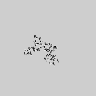 CC(C)(C)NC(=O)c1c[nH]c2ncc(C(=N)c3ccc(F)cc3NCC3CNC3)nc12